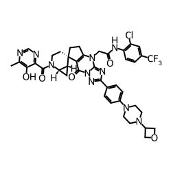 Cc1ncnc(C(=O)N2CC[C@@]3(CCc4c3c(=O)n3nc(-c5ccc(N6CCN(C7COC7)CC6)cc5)nc3n4CC(=O)Nc3ccc(C(F)(F)F)cc3Cl)[C@@H]3C[C@@H]32)c1O